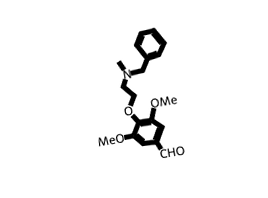 COc1cc(C=O)cc(OC)c1OCCN(C)Cc1ccccc1